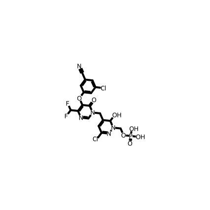 N#Cc1cc(Cl)cc(Oc2c(C(F)F)ncn(CC3=CC(Cl)=NN(COP(=O)(O)O)C3O)c2=O)c1